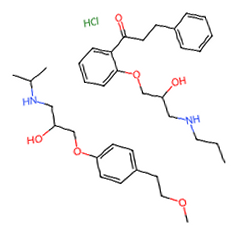 CCCNCC(O)COc1ccccc1C(=O)CCc1ccccc1.COCCc1ccc(OCC(O)CNC(C)C)cc1.Cl